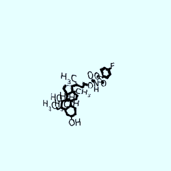 CC[C@@H]1C2C[C@H](O)CCC2(C)[C@H]2CCC3(C)[C@@H]([C@H](C)CCOC(=O)NS(=O)(=O)c4ccc(F)cc4)CC[C@H]3[C@H]2[C@@H]1O